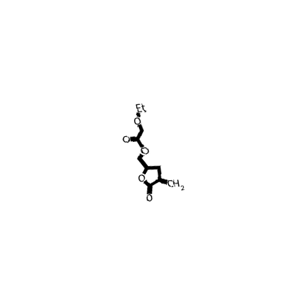 C=C1CC(COC(=O)COCC)OC1=O